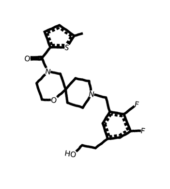 Cc1ccc(C(=O)N2CCOC3(CCN(Cc4cc(CCO)cc(F)c4F)CC3)C2)s1